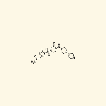 Cc1nc(CC(N)=O)sc1S(=O)(=O)N1CCN(NC2CCN(c3ccncc3)CC2)C(=O)C1